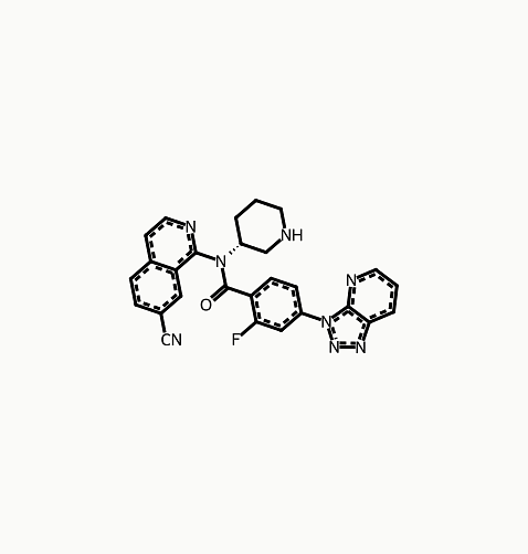 N#Cc1ccc2ccnc(N(C(=O)c3ccc(-n4nnc5cccnc54)cc3F)[C@@H]3CCCNC3)c2c1